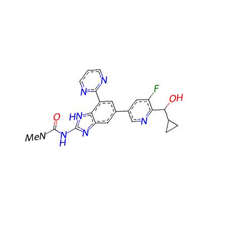 CNC(=O)Nc1nc2cc(-c3cnc(C(O)C4CC4)c(F)c3)cc(-c3ncccn3)c2[nH]1